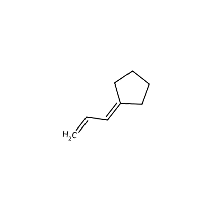 C=CC=C1CCCC1